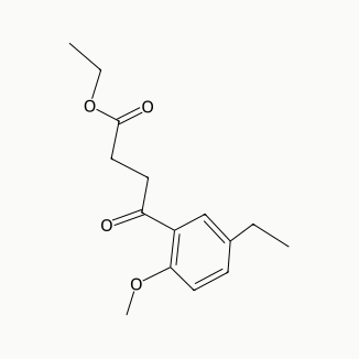 CCOC(=O)CCC(=O)c1cc(CC)ccc1OC